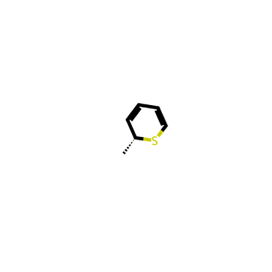 C[C@@H]1C=CC=CS1